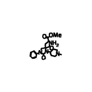 COC(=O)CCC1(C(N)=O)CN(c2ccccc2)C(=O)N1C1CCN(C)CC1